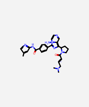 Cc1ccnc(NC(=O)c2ccc(C3=NC(C4CCCN4C(=O)/C=C/CN(C)C)=C4C=NC=C[N+]34N)cc2)c1